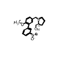 COc1ccc(CN2CCC[C@H]2CO)cc1-c1cccc([N+](=O)[O-])c1